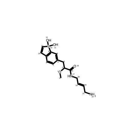 COC(Cc1ccc2c(c1)S(O)(O)C=C2)C(=O)NCC=CCN